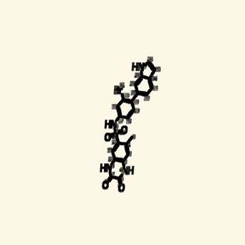 Cc1cc2[nH]c(=O)c(=O)[nH]c2cc1S(=O)(=O)Nc1ccc(-c2ccc3cc[nH]c3c2)c(Br)c1